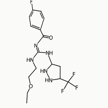 CCOCCN/C(=N/C(=O)c1ccc(F)cc1)NC1CC(C(F)(F)F)NN1